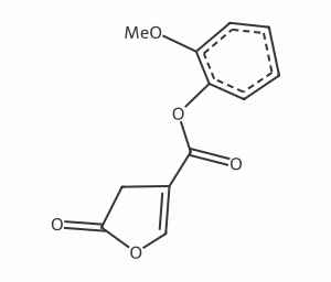 COc1ccccc1OC(=O)C1=COC(=O)C1